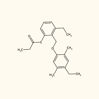 CCC(=O)Sc1cccc(CC)c1COc1cc(C)c(CC)cc1C